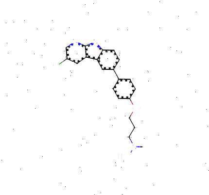 CN(C)CCCOc1ccc(-c2ccc3[nH]c4ncc(Cl)cc4c3c2)cc1